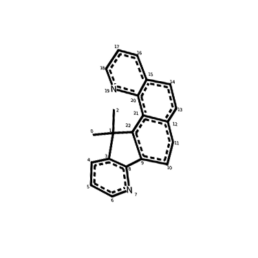 CC1(C)c2cccnc2-c2ccc3ccc4cccnc4c3c21